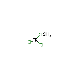 [Cl][Ti]([Cl])[Cl].[SiH4]